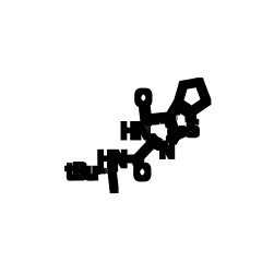 C[C@@H](NC(=O)c1nc2sc3c(c2c(=O)[nH]1)CCC3)C(C)(C)C